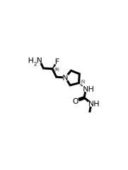 CNC(=O)N[C@H]1CCN(C[C@H](F)CN)C1